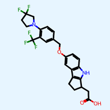 O=C(O)CC1CCc2c1[nH]c1ccc(OCc3ccc(N4CCC(F)(F)C4)c(C(F)(F)F)c3)cc21